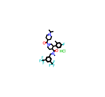 Cc1cc(F)ccc1C1CN(C(=O)C2CCN(C(C)C)CC2)CCC1C(=O)N(C)Cc1cc(C(F)(F)F)cc(C(F)(F)F)c1.Cl